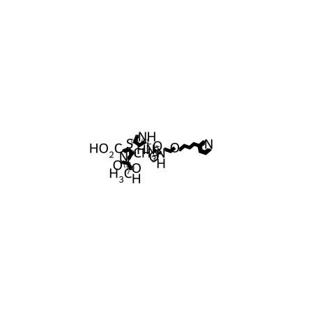 C[C@H]1C(S[C@@H]2CN[C@H](CNS(=O)(=O)NCCOCCCCc3cccnc3)C2)=C(C(=O)O)N2C(=O)[C@H]([C@@H](C)O)C12